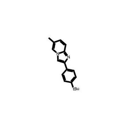 Cc1ccc2nc(-c3ccc(C(C)(C)C)cc3)cn2c1